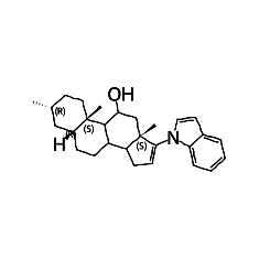 C[C@@H]1CC[C@]2(C)C3C(O)C[C@]4(C)C(n5ccc6ccccc65)=CCC4C3CC[C@@H]2C1